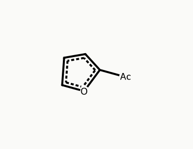 [CH2]C(=O)c1ccco1